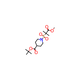 COC(=O)C(C)(C)S(=O)(=O)N1CCC(C(=O)OC(C)(C)C)CC1